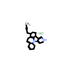 CC#CCC1CCC2C3=CNCC=C3N3C2=C1CC=C1C=CCCC13.Cl